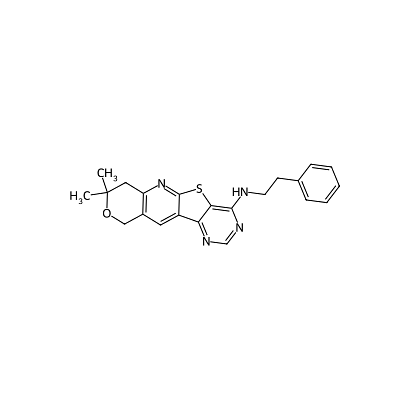 CC1(C)Cc2nc3sc4c(NCCc5ccccc5)ncnc4c3cc2CO1